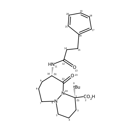 CC(C)(C)[C@]1(C(=O)O)CCCN2CCC[C@H](NC(=O)CCc3ccccc3)C(=O)N21